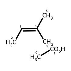 CC(=O)O.CC=C(C)C